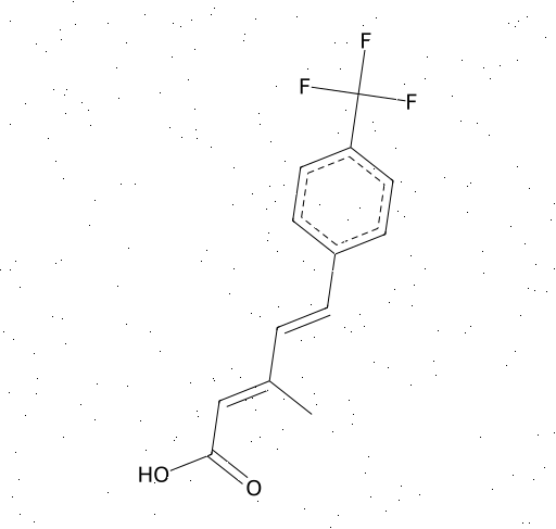 CC(/C=C/c1ccc(C(F)(F)F)cc1)=C\C(=O)O